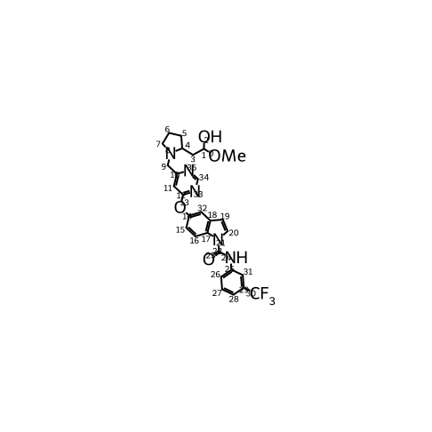 COC(O)CC1CCCN1Cc1cc(Oc2ccc3c(ccn3C(=O)Nc3cccc(C(F)(F)F)c3)c2)ncn1